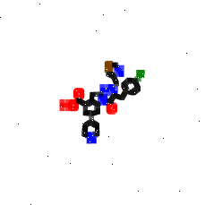 O=C(O)c1cc(-c2ccncc2)cc2c1CCN2C(=O)C(Cc1ccc(F)cc1)NCc1cscn1